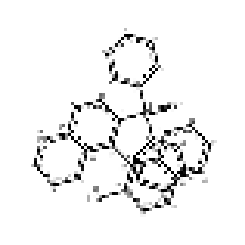 O=P(c1ccccc1)(c1ccccc1)c1ccc2ncccc2c1-c1c(O)ccc2ncccc12